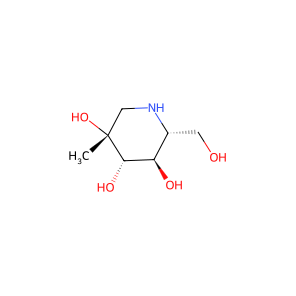 C[C@@]1(O)CN[C@H](CO)[C@@H](O)[C@@H]1O